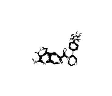 C[C@H]1OCc2c1c(N)nc1cnc(C(=O)N3CCOC[C@@H]3c3ccc(S(F)(F)(F)(F)F)cc3)cc21